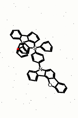 c1ccc(-n2c3ccccc3c3cccc([Si](c4ccccc4)(c4ccccc4)c4ccc(-n5c6ccccc6c6c7oc8ccccc8c7ccc65)cc4)c32)cc1